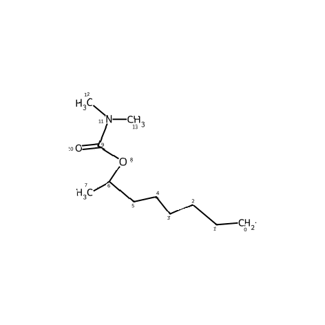 [CH2]CCCCCC(C)OC(=O)N(C)C